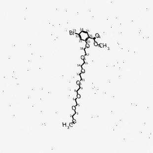 COCCOCCOCCOCCOCCOCCOc1cc(Br)ccc1C(=O)OC